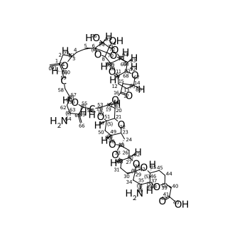 C=C1C[C@@H]2CC[C@]34OC5[C@@H]6O[C@H]7CC[C@H](CC(=O)O[C@@H]8CC9OC%10C[C@@]%11(C[C@@H]%12O[C@@]%13(CC[C@@H]%12O%11)C[C@H](N)[C@@H]%11O[C@H](CC(=O)O)CC[C@@H]%11O%13)O[C@@H]%10C[C@@H]9O[C@H]8C[C@H]8O[C@@H](CC[C@@H]1O2)C[C@@H](N)C8=C)O[C@@H]7[C@H](O3)[C@@H]6OC5(O)[C@H]4O